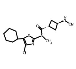 CN(c1nc(Cl)c(C2CCCCC2)s1)C(=O)[C@H]1C[C@H](NC#N)C1